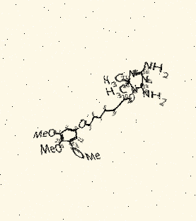 COc1cc(OCCCCCCON2C(N)=NC(N)=NC2(C)C)cc(OC)c1OC